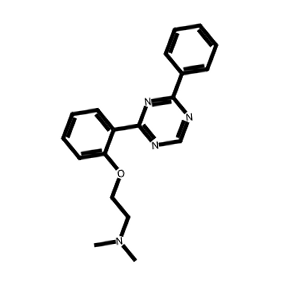 CN(C)CCOc1ccccc1-c1ncnc(-c2ccccc2)n1